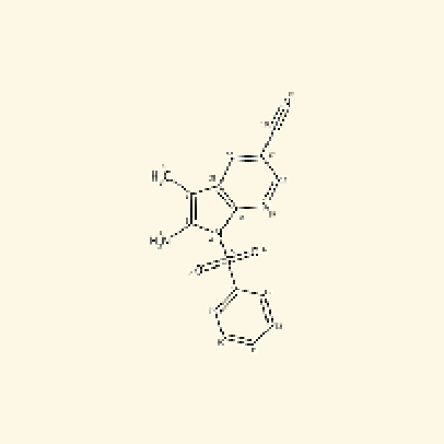 Cc1c(N)n(S(=O)(=O)c2ccccc2)c2ncc(C#N)cc12